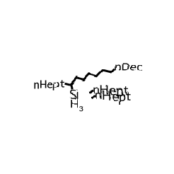 CCCCCCCC.CCCCCCCC.CCCCCCCCCCCCCCCCC([SiH3])CCCCCCC